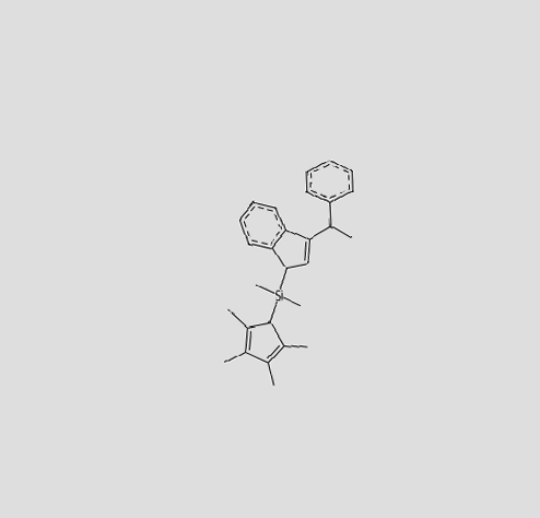 CC1=C(C)C([Si](C)(C)C2C=C(C(C)c3ccccc3)c3ccccc32)C(C)=C1C